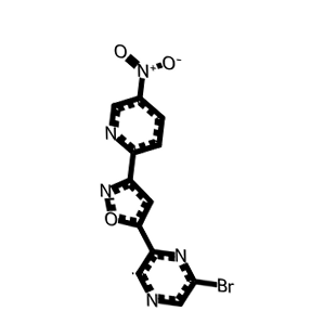 O=[N+]([O-])c1ccc(-c2cc(-c3[c]ncc(Br)n3)on2)nc1